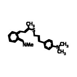 CN\C=c1/cccc/c1=C/C=C(\C)SC/C=C/c1ccc(N(C)C)cc1